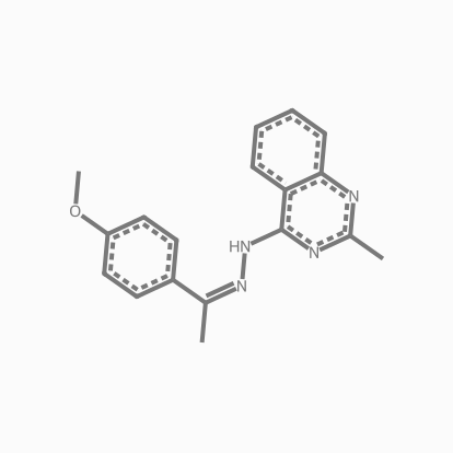 COc1ccc(C(C)=NNc2nc(C)nc3ccccc23)cc1